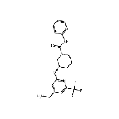 NCc1cc(O[C@@H]2CCCN(C(=O)Nc3ccccc3)C2)nc(C(F)(F)F)c1